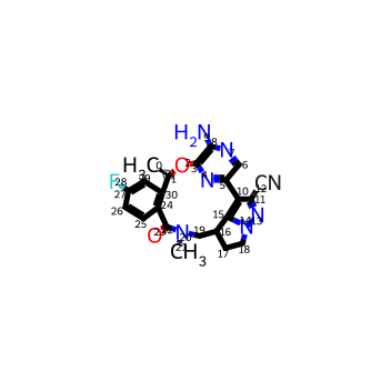 C[C@H]1Oc2nc(cnc2N)-c2c(C#N)nn3c2C(CC3)CN(C)C(=O)c2ccc(F)cc21